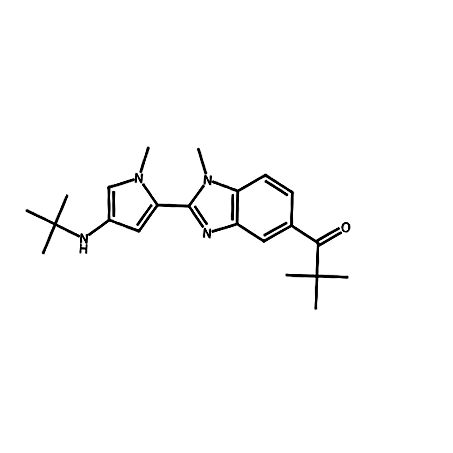 Cn1cc(NC(C)(C)C)cc1-c1nc2cc(C(=O)C(C)(C)C)ccc2n1C